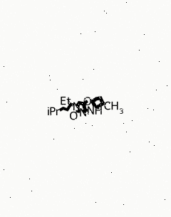 CC[C@@H](CCC(C)C)n1cc2c(nc1=O)Nc1cc(C)ccc1O2